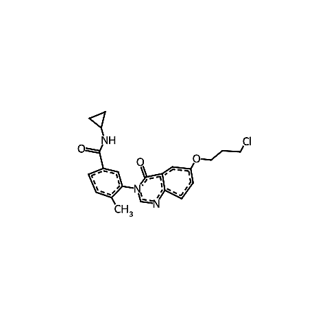 Cc1ccc(C(=O)NC2CC2)cc1-n1cnc2ccc(OCCCCl)cc2c1=O